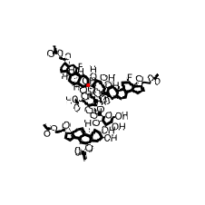 CC(=O)OCC(=O)[C@H]1CCC2C3C[C@@H](OC(C)=O)C4C[C@@H](O)CC[C@]4(C)C3CC[C@@]21C.CC(=O)OCC(=O)[C@H]1CC[C@H]2[C@@H]3CC[C@@H]4C[C@@H](OC5O[C@H](C(=O)O)[C@@H](O)[C@H](OC(=O)[C@H]6OC(O)[C@H](O)[C@H](O)[C@@H]6O)[C@H]5OC5([C@@]6(O)CC[C@@]7(C)C(CCC8C7C[C@H](F)[C@@]7(C)C8CC[C@@H]7C(=O)COC(C)=O)C6)O[C@H](C(=O)O)[C@@H](O)[C@H](O)[C@H]5O)CC[C@]4(C)[C@H]3[C@H](F)C[C@]12C